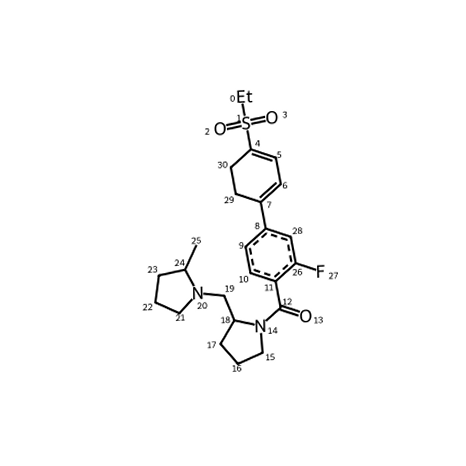 CCS(=O)(=O)C1=CC=C(c2ccc(C(=O)N3CCCC3CN3CCCC3C)c(F)c2)CC1